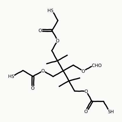 CC(C)(COC(=O)CS)C(COC=O)(COC(=O)CS)C(C)(C)COC(=O)CS